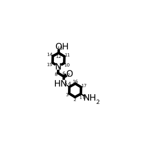 N[C@H]1CC[C@H](NC(=O)CN2CCC(O)CC2)CC1